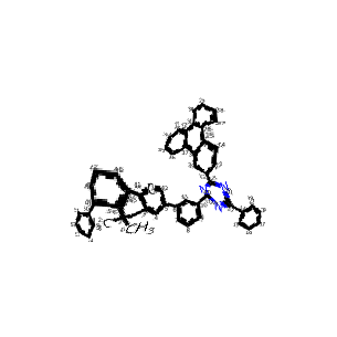 CC1(C)c2cc(-c3cccc(-c4nc(-c5ccccc5)nc(-c5ccc6c7ccccc7c7ccccc7c6c5)n4)c3)ccc2-c2cccc(-c3ccccc3)c21